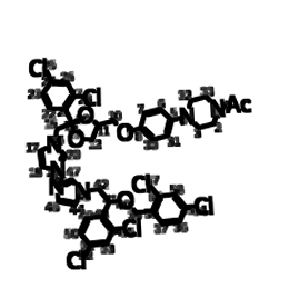 CC(=O)N1CCN(c2ccc(OCC3COC(Cn4ccnc4)(c4ccc(Cl)cc4Cl)O3)cc2)CC1.Clc1ccc(COC(Cn2ccnc2)c2ccc(Cl)cc2Cl)c(Cl)c1